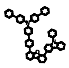 c1ccc(-c2ccc(N(c3ccc(-c4ccccc4)cc3)c3ccc(-c4ccc(-c5cccc6c5oc5c(-c7ccc8c(c7)c7ccccc7n8-c7ccccc7)cccc56)cc4)cc3)cc2)cc1